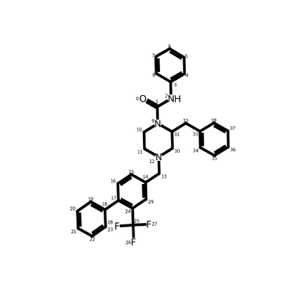 O=C(Nc1ccccc1)N1CCN(Cc2ccc(-c3ccccc3)c(C(F)(F)F)c2)CC1Cc1ccccc1